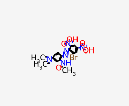 CCN(CC)c1ccc(/N=N/c2c(Br)cc([N+](=O)O)cc2[N+](=O)O)c(NC(C)=O)c1